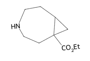 CCOC(=O)C12CCNCCC1C2